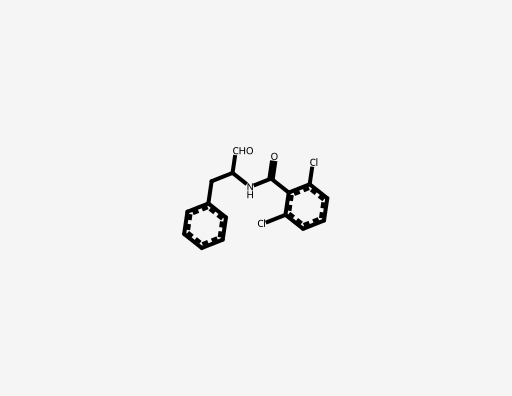 O=CC(Cc1ccccc1)NC(=O)c1c(Cl)cccc1Cl